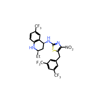 CC[C@@H]1C[C@H](Nc2nc([N+](=O)[O-])c(Cc3cc(C(F)(F)F)cc(C(F)(F)F)c3)s2)c2cc(C(F)(F)F)ccc2N1